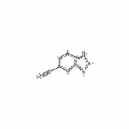 C#Cc1ccc2[nH]nnc2c1